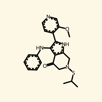 COc1cnccc1-c1[nH]c2c(c1Nc1ccccc1)C(=O)CN(SC(C)C)C2